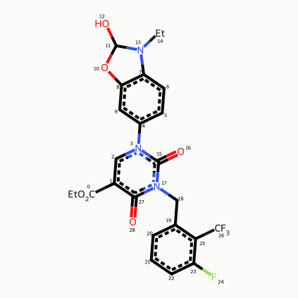 CCOC(=O)c1cn(-c2ccc3c(c2)OC(O)N3CC)c(=O)n(Cc2cccc(F)c2C(F)(F)F)c1=O